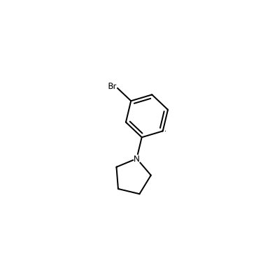 Brc1cc[c]c(N2CCCC2)c1